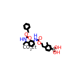 CCOC(=O)CC(NC(=O)OCc1ccccc1)c1cccc(NC(=O)OCCc2ccc(B(O)O)cc2C)c1